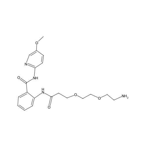 COc1ccc(NC(=O)c2ccccc2NC(=O)CCOCCOCCN)nc1